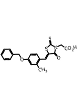 Cc1cc(OCc2ccccc2)ccc1/C=C1\SC(=S)N(CC(=O)O)C1=O